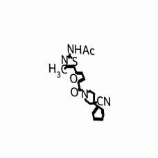 CC(=O)Nc1nc(C)c(-c2ccc(C(=O)N3CCC(C#N)(c4ccccc4)CC3)o2)s1